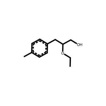 CCOC(CO)Cc1ccc(C)cc1